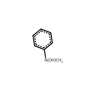 CN(O)c1ccccc1